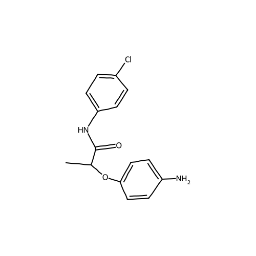 CC(Oc1ccc(N)cc1)C(=O)Nc1ccc(Cl)cc1